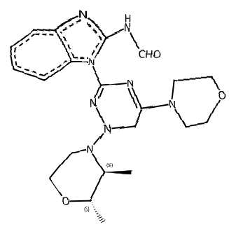 C[C@@H]1OCCN(N2CC(N3CCOCC3)=NC(n3c(NC=O)nc4ccccc43)=N2)[C@H]1C